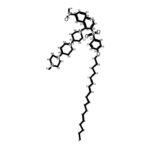 CCCCCCCCCCCCCCCCCCOc1ccc(S(=O)(=O)c2cnc3ccc([S+](C)[O-])cc3c2N2CCC(N3CCC(N4CCN(C)CC4)CC3)CC2)cc1